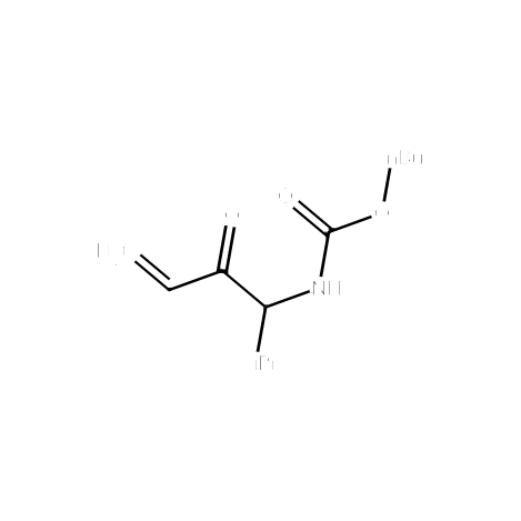 C=CC(=O)C(NC(=O)OCCCC)C(C)C